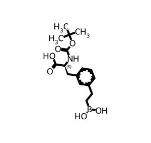 CC(C)(C)OC(=O)N[C@@H](Cc1cccc(CCB(O)O)c1)C(=O)O